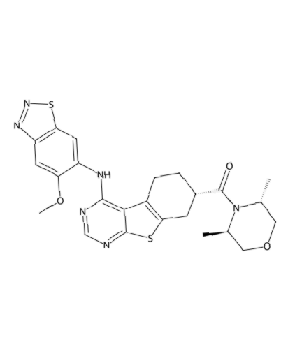 COc1cc2nnsc2cc1Nc1ncnc2sc3c(c12)CC[C@H](C(=O)N1[C@H](C)COC[C@H]1C)C3